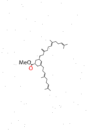 C=C(CC/C=C(\C)CCC=C(C)C)CC[C@H]1C=C(CC/C=C(\C)CCC=C(C)C)C[C@@H](C(=O)OC)C1